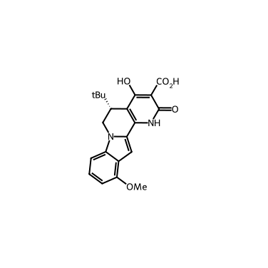 COc1cccc2c1cc1n2C[C@H](C(C)(C)C)c2c-1[nH]c(=O)c(C(=O)O)c2O